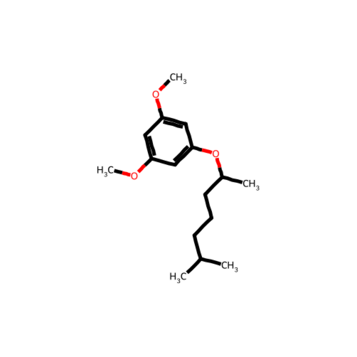 COc1cc(OC)cc(OC(C)CCCC(C)C)c1